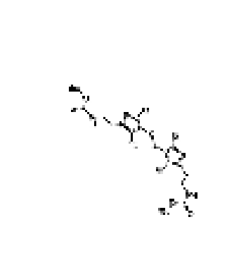 CCc1nn(CCNC(=O)OC(C)(C)C)c(CC)c1SSc1c(CC)nn(CCNC(=O)OC(C)(C)C)c1CC